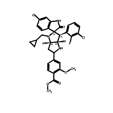 COC(=O)c1ccc(C2C[C@H]3[C@@H](N2)[C@H](c2cccc(Cl)c2F)[C@]2(C(=O)Nc4cc(Cl)ccc42)N3CC2CC2)cc1OC